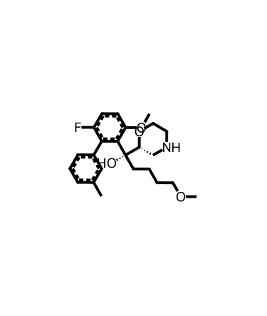 COCCCC[C@@](O)(c1c(OC)ccc(F)c1-c1cccc(C)c1)[C@H]1CNCCO1